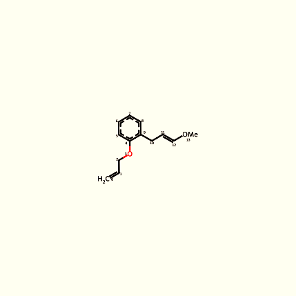 C=CCOc1ccccc1CC=COC